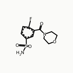 NS(=O)(=O)c1ccc(F)c(C(=O)N2CCOCC2)c1